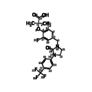 CC(C)(Oc1c(F)cc(CN2CCN(c3ccc(C(F)(F)F)cc3)C2=O)cc1F)C(=O)O